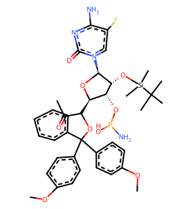 COc1ccc(C(OC(C(C)=O)[C@H]2O[C@@H](n3cc(F)c(N)nc3=O)[C@H](O[Si](C)(C)C(C)(C)C)[C@@H]2OP(N)O)(c2ccccc2)c2ccc(OC)cc2)cc1